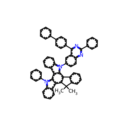 CC1(C)c2ccccc2-c2c1c1c3ccccc3n(-c3ccccc3)c1c1c3ccccc3n(-c3ccc4nc(-c5ccccc5)nc(-c5ccc(-c6ccccc6)cc5)c4c3)c21